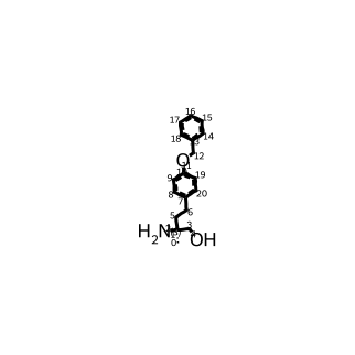 C[C@@](N)(CO)CCc1ccc(OCc2ccccc2)cc1